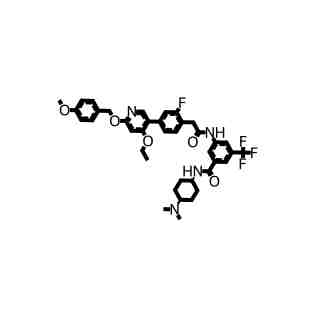 CCOc1cc(OCc2ccc(OC)cc2)ncc1-c1ccc(CC(=O)Nc2cc(C(=O)N[C@H]3CC[C@H](N(C)C)CC3)cc(C(F)(F)F)c2)c(F)c1